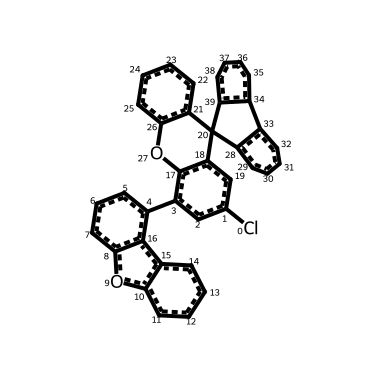 Clc1cc(-c2cccc3oc4ccccc4c23)c2c(c1)C1(c3ccccc3O2)c2ccccc2-c2ccccc21